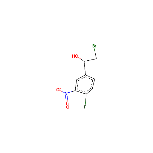 O=[N+]([O-])c1cc(C(O)CBr)ccc1F